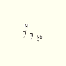 [Nb].[Ni].[Ti].[Ti]